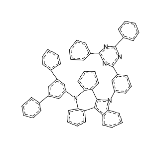 c1ccc(-c2cc(-c3ccccc3)cc(N3c4ccccc4-c4c(n(-c5cccc(-c6nc(-c7ccccc7)nc(-c7ccccc7)n6)c5)c5ccccc45)-c4ccccc43)c2)cc1